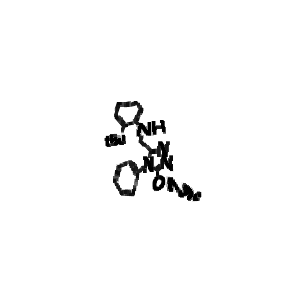 COc1nnc(CNc2ccccc2C(C)(C)C)n1-c1ccccc1